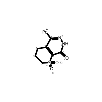 CC(C)c1n[nH]c(=O)c2c1CCCS2(=O)=O